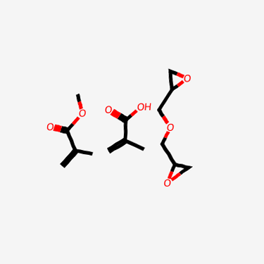 C(OCC1CO1)C1CO1.C=C(C)C(=O)O.C=C(C)C(=O)OC